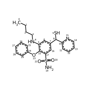 CCCCNc1cc(C(S)c2ccccn2)cc(S(N)(=O)=O)c1Oc1ccccc1